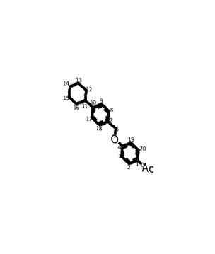 CC(=O)c1ccc(OCc2ccc(C3CCCCC3)cc2)cc1